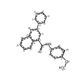 COc1ccc(NC(=O)c2cc(-c3cccnc3)nc3ccccc23)cc1